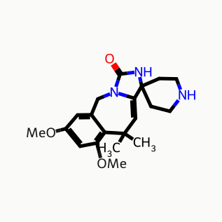 COc1cc2c(c(OC)c1)C(C)(C)C=C1N(C2)C(=O)NC12CCNCC2